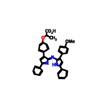 COc1ccc(-c2cc(-c3ccccc3)[nH]c2/N=C2\N=C(c3ccccc3)C=C2c2ccc(OC(C)C(=O)O)cc2)cc1